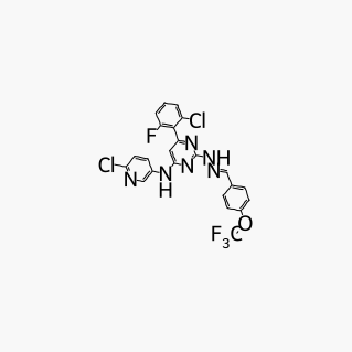 Fc1cccc(Cl)c1-c1cc(Nc2ccc(Cl)nc2)nc(N/N=C/c2ccc(OC(F)(F)F)cc2)n1